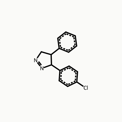 Clc1ccc(C2N=NCC2c2ccccc2)cc1